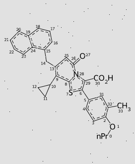 CCCOc1ccc(-c2sc3c(C4CC4)c(Cc4cccc5ccccc45)cc(=O)n3c2C(=O)O)cc1C